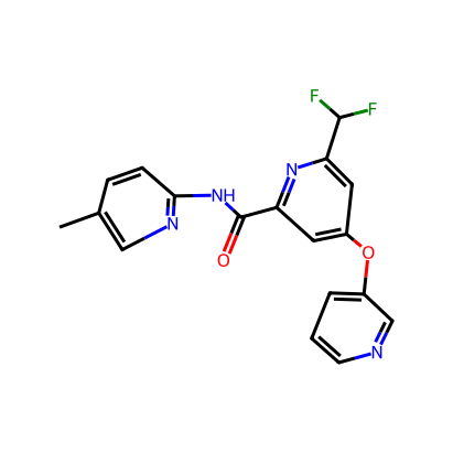 Cc1ccc(NC(=O)c2cc(Oc3cccnc3)cc(C(F)F)n2)nc1